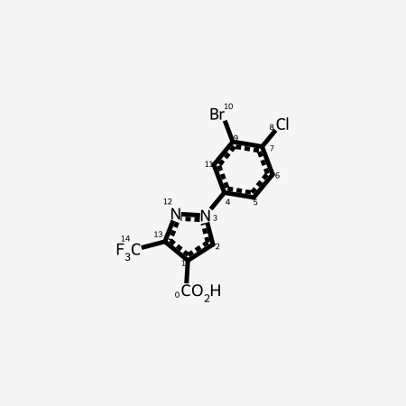 O=C(O)c1cn(-c2ccc(Cl)c(Br)c2)nc1C(F)(F)F